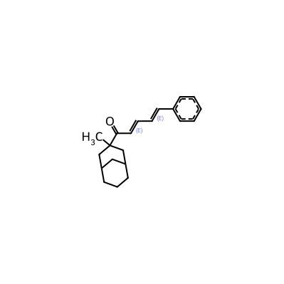 CC1(C(=O)/C=C/C=C/c2ccccc2)CC2CCCC(C2)C1